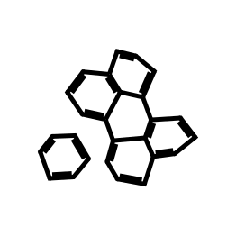 c1cc2cccc3c4cccc5cccc(c(c1)c23)c54.c1ccccc1